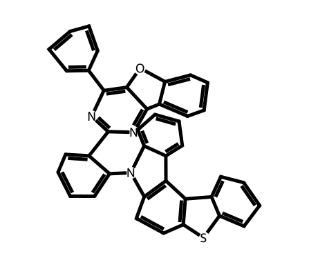 c1ccc(-c2nc(-c3ccccc3-n3c4ccccc4c4c5c(ccc43)sc3ccccc35)nc3c2oc2ccccc23)cc1